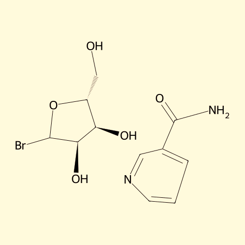 NC(=O)c1cccnc1.OC[C@H]1OC(Br)[C@H](O)[C@@H]1O